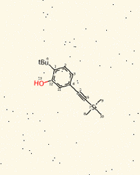 CC(C)(C)c1ccc(C#C[Si](C)(C)C)cc1O